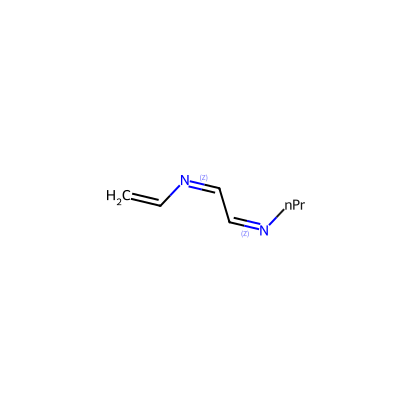 C=C/N=C\C=N/CCC